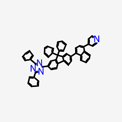 c1ccc(-c2nc(-c3ccccc3)nc(-c3ccc4c(c3)C(c3ccccc3)(c3ccccc3)c3cc(-c5ccc(-c6ccncc6)c6ccccc56)ccc3-4)n2)cc1